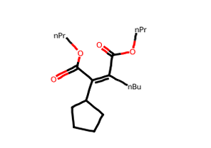 CCCC/C(C(=O)OCCC)=C(/C(=O)OCCC)C1CCCC1